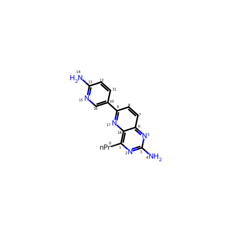 CCCc1nc(N)nc2ccc(-c3ccc(N)nc3)nc12